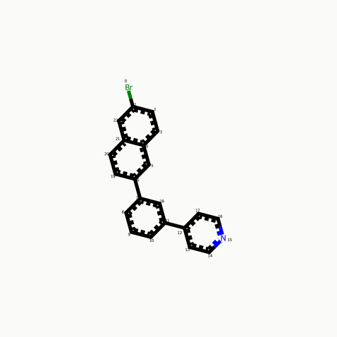 Brc1ccc2cc(-c3cccc(-c4ccncc4)c3)ccc2c1